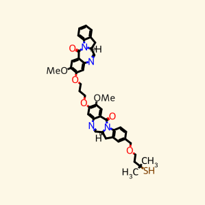 COc1cc2c(cc1OCCCOc1cc3c(cc1OC)C(=O)N1c4ccc(COCCC(C)(C)S)cc4C[C@H]1C=N3)N=C[C@@H]1Cc3ccccc3N1C2=O